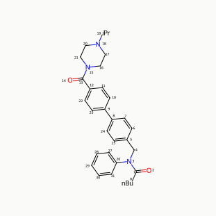 CCCCC(=O)N(Cc1ccc(-c2ccc(C(=O)N3CCN(C(C)C)CC3)cc2)cc1)c1ccccc1